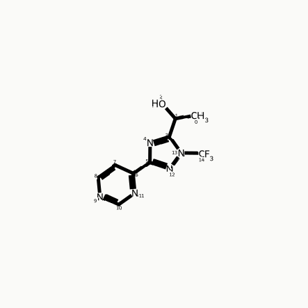 CC(O)c1nc(-c2ccncn2)nn1C(F)(F)F